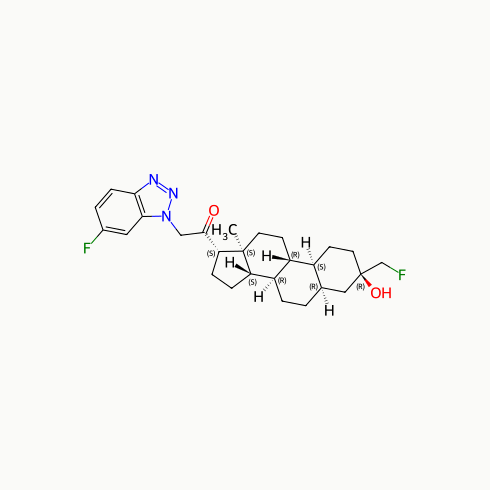 C[C@]12CC[C@H]3[C@@H](CC[C@@H]4C[C@@](O)(CF)CC[C@@H]43)[C@@H]1CC[C@@H]2C(=O)Cn1nnc2ccc(F)cc21